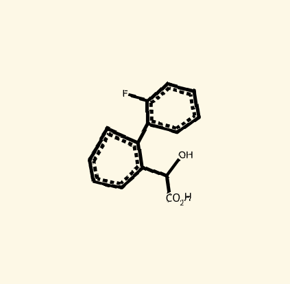 O=C(O)C(O)c1ccccc1-c1ccccc1F